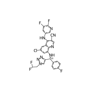 N#Cc1cnc2c(N[C@@H](c3ccc(F)cc3)c3cn(CC(F)F)nn3)cc(Cl)cc2c1Nc1cnc(F)c(F)c1